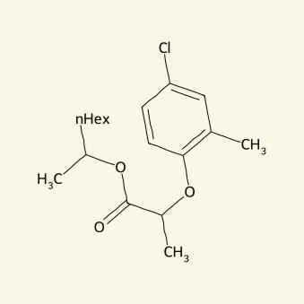 CCCCCCC(C)OC(=O)C(C)Oc1ccc(Cl)cc1C